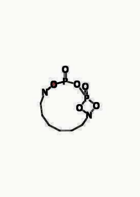 O=P12ON(CCCCCCN3OP(=O)(O3)O1)O2